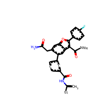 C=C(CC)NC(=O)c1cccc(-c2cc3c(C(=O)NC)c(-c4ccc(F)cc4)oc3cc2CC(N)=O)c1